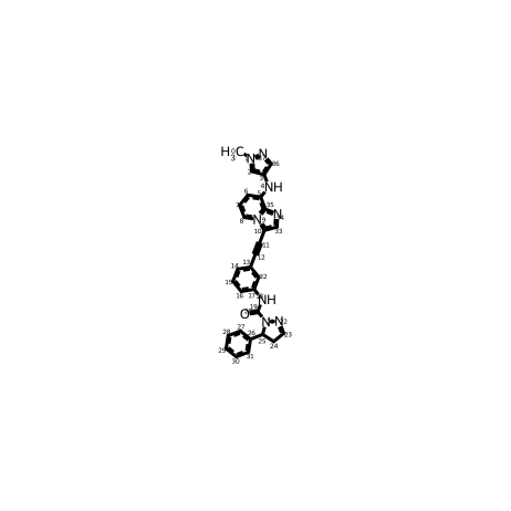 Cn1cc(Nc2cccn3c(C#Cc4cccc(NC(=O)N5N=CCC5c5ccccc5)c4)cnc23)cn1